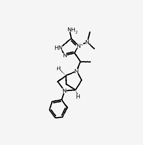 CC(c1n[nH]c(N)[n+]1N(C)C)N1C[C@@H]2C[C@H]1CN2c1ccccc1